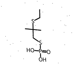 CCSC(C)(C)CSP(=O)(O)O